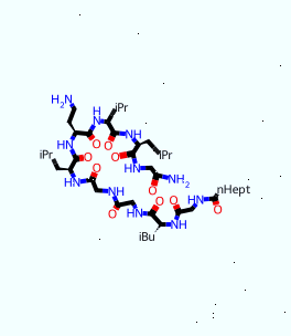 CCCCCCCC(=O)NCC(=O)NC(C(=O)NCC(=O)NCC(=O)N[C@@H](CC(C)C)C(=O)N[C@@H](CCN)C(=O)NC(C(=O)N[C@@H](CC(C)C)C(=O)NCC(N)=O)C(C)C)[C@@H](C)CC